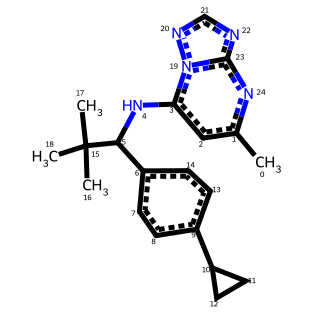 Cc1cc(NC(c2ccc(C3CC3)cc2)C(C)(C)C)n2ncnc2n1